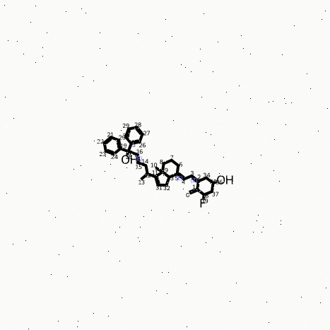 C=C1/C(=C\C=C2/CCCC3(C)C(C(C)C/C=C/C(O)(c4ccccc4)c4ccccc4)=CCC23)CC(O)CC1F